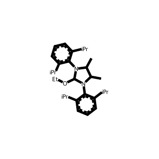 CCOC1N(c2c(C(C)C)cccc2C(C)C)C(C)C(C)N1c1c(C(C)C)cccc1C(C)C